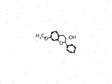 COc1ccc2c(c1)O[C@H](c1ccccc1)[C@@H](O)C2